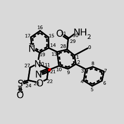 Cc1c(-c2ccccc2)cc(C#N)c(-c2cccnc2N2CCOC(=S=O)C2)c1C(N)=O